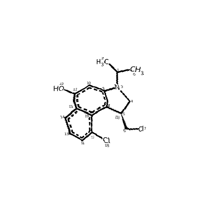 CC(C)N1C[C@@H](CCl)c2c1cc(O)c1cccc(Cl)c21